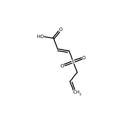 C=CCS(=O)(=O)C=CC(=O)O